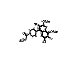 COc1nc2c(OC)c(Br)c(Cl)cc2c(N2CCN(C(=O)OC(C)(C)C)CC2)c1C#N